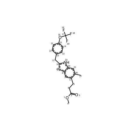 COC(=O)CCc1cc2nc(Cc3ccc(OC(F)(F)F)cc3)[nH]c2cc1C